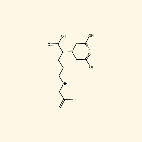 C=C(C)CNCCCC(C(=O)O)N(CC(=O)O)CC(=O)O